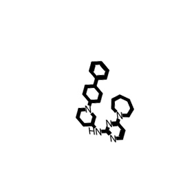 c1ccc(C2CCC(N3CCCC(Nc4nccc(N5CCCCCC5)n4)C3)CC2)cc1